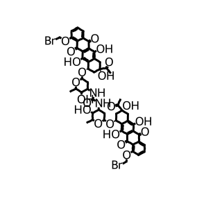 CC(=O)[C@]1(O)Cc2c(O)c3c(c(O)c2[C@@H](OC2CC(NC(=O)NC4CC(O[C@H]5C[C@](O)(C(C)=O)Cc6c(O)c7c(c(O)c65)C(=O)c5c(OCBr)cccc5C7=O)OC(C)C4O)C(O)C(C)O2)C1)C(=O)c1c(OCBr)cccc1C3=O